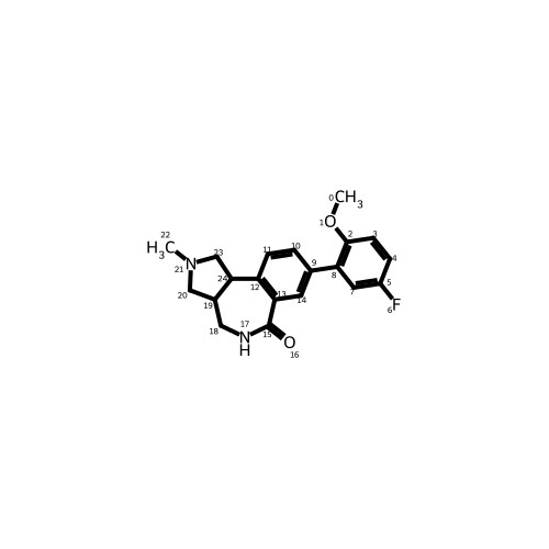 COc1ccc(F)cc1-c1ccc2c(c1)C(=O)NCC1CN(C)CC21